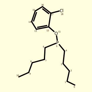 CCCCCP(CCCCC)Oc1ccccc1Cl